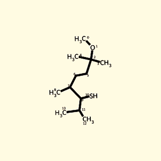 COC(C)(C)CCC(C)C(S)C(C)C